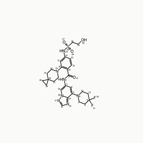 O=C(Nc1cc(N2CCC(F)(F)CC2)c2ncnn2c1)c1ccc(NS(=O)(=O)CCO)cc1N1CCC2(CC1)CC2